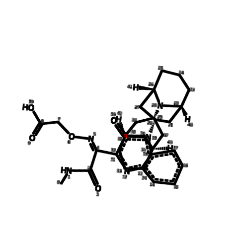 CNC(=O)/C(=N\OCC(=O)O)c1nc2ccccc2n([C@H]2C[C@H]3CCC[C@@H](C2)N3[C@H]2C[C@@H]3CCC[C@@H](C3)C2)c1=O